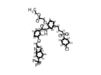 CCOC(=O)COc1ccc(CCCS(=O)(=O)c2ccc(Cl)cc2)cc1NC(=O)c1cccc(OCc2nc3cc(C(F)(F)F)ccc3s2)c1